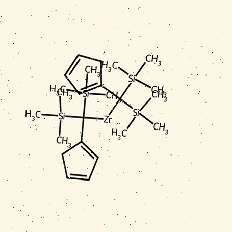 C[Si](C)(C)[C]([Zr][C](C1=CC=CC1)([Si](C)(C)C)[Si](C)(C)C)(C1=CC=CC1)[Si](C)(C)C